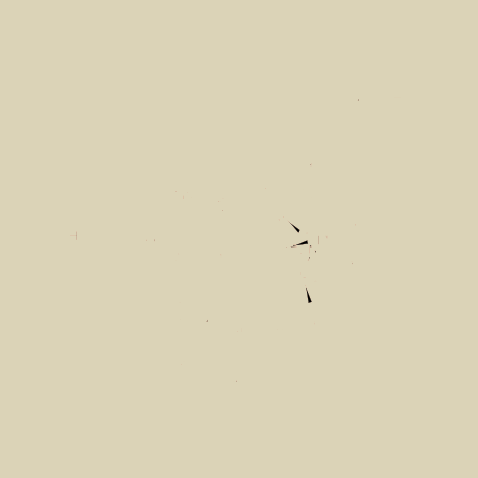 CCOC(=O)C1C[C@H]2[C@H]3Cc4ccc(OC)cc4[C@@]2(CCN3CC2CCC2)CC1=O